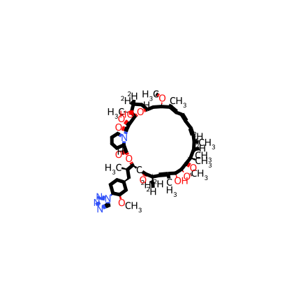 [2H]C([2H])([2H])[C@@H]1/C=C(\C)[C@@H](O)[C@@H](OC)C(=O)[C@H](C)C([2H])(C)[C@]([2H])(C)/C=C/C=C/C=C(\C)[C@@H](OC)C[C@@H]2CC([2H])([2H])[C@@H](C)[C@@](O)(O2)C(=O)C(=O)N2CCCC[C@H]2C(=O)O[C@H]([C@H](C)C[C@@H]2CC[C@H](n3cnnn3)[C@H](OC)C2)CC1=O